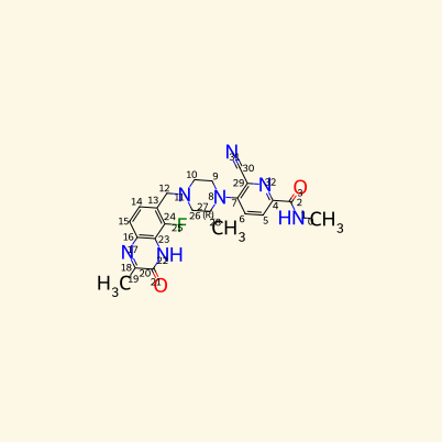 CNC(=O)c1ccc(N2CCN(Cc3ccc4nc(C)c(=O)[nH]c4c3F)C[C@H]2C)c(C#N)n1